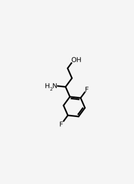 NC(CCO)C1=C(F)C=CC(F)C1